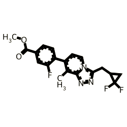 COC(=O)c1ccc(-c2ccn3c(CC4CC4(F)F)nnc3c2C)c(F)c1